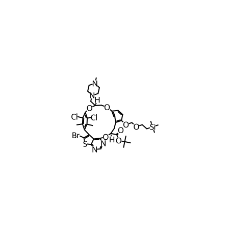 Cc1c(Cl)c2c(Cl)c(C)c1-c1c(Br)sc3ncnc(c13)O[C@@H](C(=O)OC(C)(C)C)Cc1cc(ccc1OCOCC[Si](C)(C)C)OC[C@@H](CN1CCN(C)CC1)O2